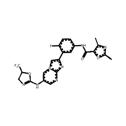 Cc1nc(C)c(C(=O)Nc2ccc(F)c(-c3cn4cc(NC5=NCC(C(F)(F)F)O5)cnc4n3)c2)o1